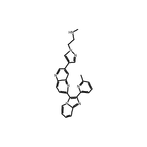 CNCCn1cc(-c2cnc3ccc(-c4c(-c5cccc(C)n5)nc5ccccn45)nc3c2)cn1